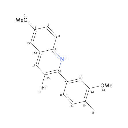 COc1ccc2nc(-c3ccc(C)c(OC)c3)c(C(C)C)cc2c1